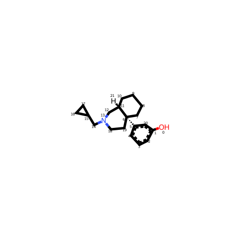 Oc1cccc([C@@]23CCCC[C@H]2CN(CC2CC2)CC3)c1